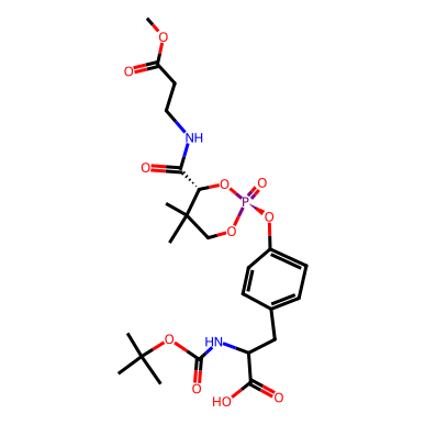 COC(=O)CCNC(=O)[C@@H]1O[P@@](=O)(Oc2ccc(CC(NC(=O)OC(C)(C)C)C(=O)O)cc2)OCC1(C)C